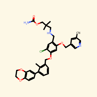 Cc1c(COc2cc(OCc3cncc(C#N)c3)c(CNCC(C)(C)COC(N)=O)cc2Cl)cccc1-c1ccc2c(c1)OCCO2